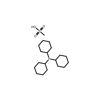 C1CCC(P(C2CCCCC2)C2CCCCC2)CC1.CS(=O)(=O)O